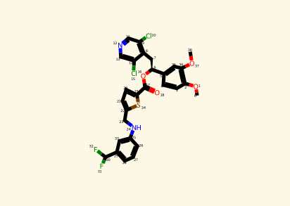 COc1ccc([C@H](Cc2c(Cl)cncc2Cl)OC(=O)c2ccc(CNc3cccc(C(F)F)c3)s2)cc1OC